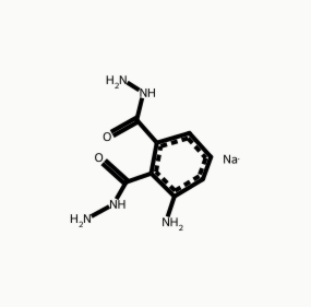 NNC(=O)c1cccc(N)c1C(=O)NN.[Na]